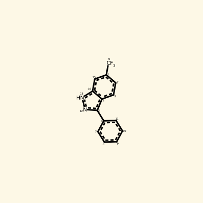 FC(F)(F)c1ccc2c(-c3ccccc3)n[nH]c2c1